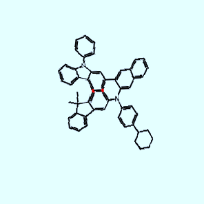 CC1(C)c2ccccc2-c2cc(N(c3ccc(C4CCCCC4)cc3)c3cc4ccccc4cc3-c3ccc4c5ccccc5n(-c5ccccc5)c4c3)ccc21